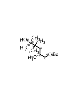 CC(C)COC[C@H](C)CC(C)(C)[Si](C)(C)O